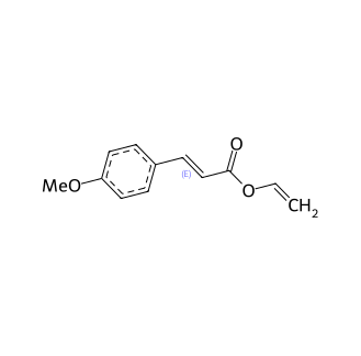 C=COC(=O)/C=C/c1ccc(OC)cc1